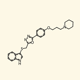 c1ccc2c(SCc3nnc(-c4ccc(OCCCN5CCCCC5)cc4)o3)c[nH]c2c1